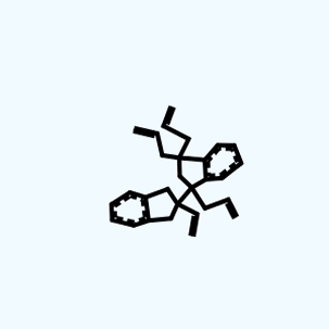 C=CCC1(CC=C)CC(CC=C)(C2(C=C)Cc3ccccc3C2)c2ccccc21